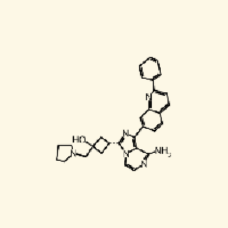 Nc1nccn2c1c(-c1ccc3ccc(-c4ccccc4)nc3c1)nc2[C@H]1C[C@@](O)(CN2CCCC2)C1